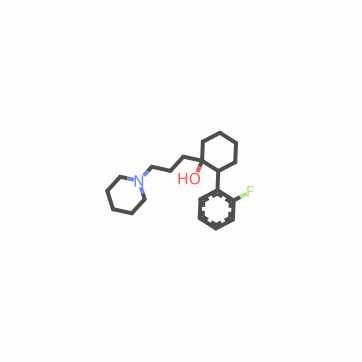 OC1(CCCN2CCCCC2)CCCCC1c1ccccc1F